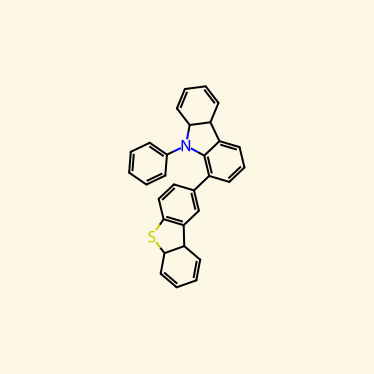 C1=CC2Sc3ccc(-c4cccc5c4N(c4ccccc4)C4C=CC=CC54)cc3C2C=C1